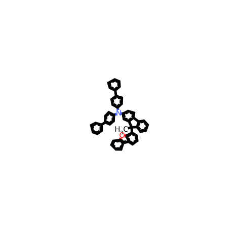 CC1(c2cccc3c2oc2ccccc23)c2ccccc2-c2ccc(N(c3ccc(-c4ccccc4)cc3)c3ccc(-c4ccccc4)cc3)cc21